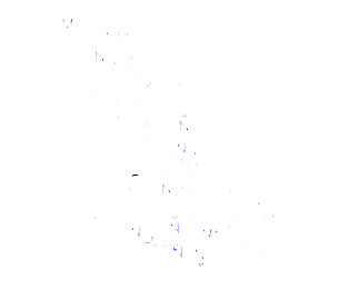 COC(=O)Nc1ccc(-c2cc([C@H](CC3CCCN(C(=O)C(C)C)C3)NC(=O)C=Cc3cc(Cl)ccc3-n3cnnn3)nnc2Cl)cc1